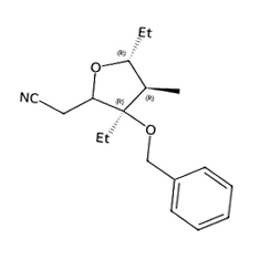 CC[C@H]1OC(CC#N)[C@](CC)(OCc2ccccc2)[C@@H]1C